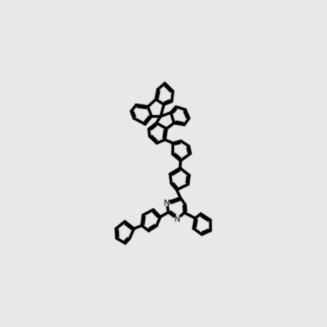 c1ccc(-c2ccc(-c3nc(-c4ccccc4)cc(-c4ccc(-c5cccc(-c6cccc7c6-c6ccccc6C76c7ccccc7-c7ccccc76)c5)cc4)n3)cc2)cc1